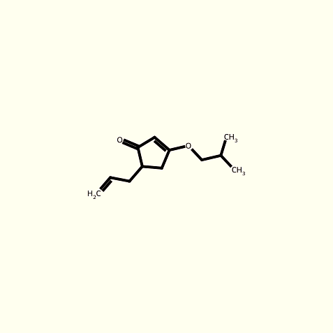 C=CCC1CC(OCC(C)C)=CC1=O